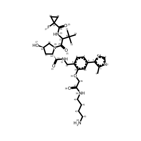 Cc1ncsc1-c1ccc(CNC(=O)[C@@H]2C[C@@H](O)CN2C(=O)C(NC(=O)C2(F)CC2)C(C)(C)C)c(OCC(=O)NCCCCN)c1